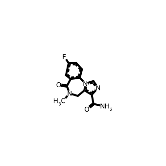 CN1Cc2c(C(N)=O)ncn2-c2ccc(F)cc2C1=O